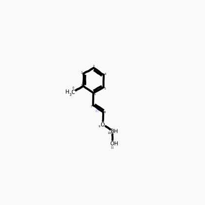 Cc1ccccc1/C=C/OBO